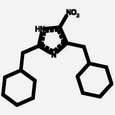 O=[N+]([O-])c1[nH]c(CC2CCCCC2)nc1CC1CCCCC1